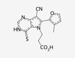 Cc1ccoc1-c1c(C#N)c2nc[nH]c(=S)c2n1CCC(=O)O